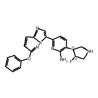 Nc1nc(-c2cnc3ccc(Oc4ccccc4)nn23)ccc1[C@H]1CNC[C@H]1F